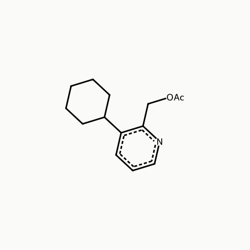 CC(=O)OCc1ncccc1C1CCCCC1